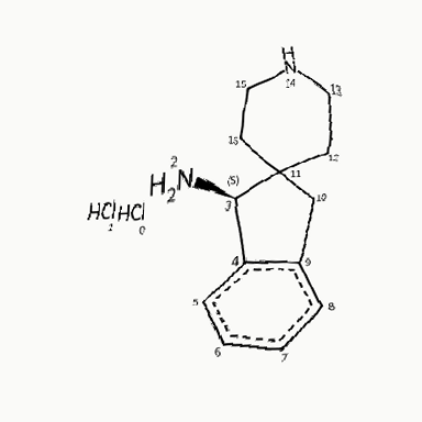 Cl.Cl.N[C@@H]1c2ccccc2CC12CCNCC2